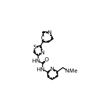 CNCc1cccc(NC(=O)Nc2csc(-c3ccncc3)n2)n1